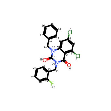 O=c1c2c(Cl)cc(Cl)cc2n(Cc2ccccc2)c(=O)n1Cc1ccccc1F